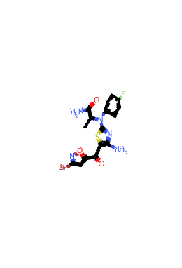 CC(C(N)=O)N(c1ccc(F)cc1)c1nc(N)c(C(=O)c2cc(Br)no2)s1